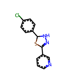 Clc1ccc(C2NN=C(c3cccnc3)S2)cc1